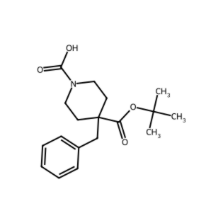 CC(C)(C)OC(=O)C1(Cc2ccccc2)CCN(C(=O)O)CC1